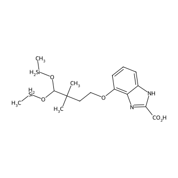 C[SiH2]OC(O[SiH2]C)C(C)(C)CCOc1cccc2[nH]c(C(=O)O)nc12